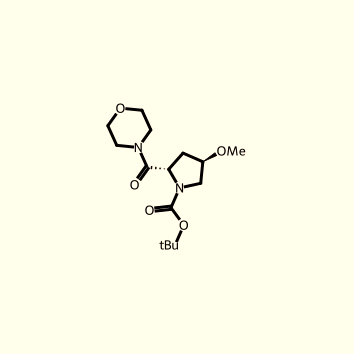 CO[C@@H]1C[C@@H](C(=O)N2CCOCC2)N(C(=O)OC(C)(C)C)C1